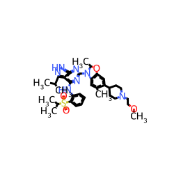 COCCN1CCC(c2cc3c(cc2C)N(c2nc(Nc4ccccc4S(=O)(=O)C(C)C)c4c(C(C)C)n[nH]c4n2)C(C)O3)CC1